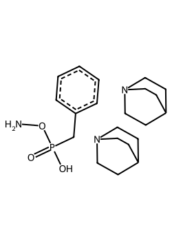 C1CN2CCC1CC2.C1CN2CCC1CC2.NOP(=O)(O)Cc1ccccc1